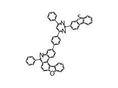 c1ccc(-c2cc(-c3ccc(-c4ccc5c(c4)nc(-c4ccccc4)c4ccc6oc7ccccc7c6c45)cc3)nc(-c3ccc4c(c3)sc3ccccc34)n2)cc1